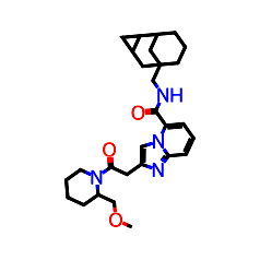 COCC1CCCCN1C(=O)Cc1cn2c(C(=O)NCC34CCCC(C3)C3CC3C4)cccc2n1